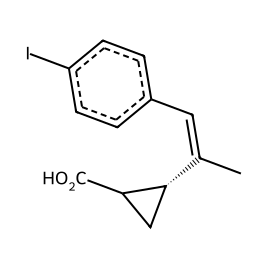 CC(=Cc1ccc(I)cc1)[C@@H]1CC1C(=O)O